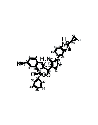 N#Cc1ccc2cc(C(=O)c3cnn(-c4ccc5[nH]c(C6CC6)nc5c4)c3N)n(S(=O)(=O)c3ccccc3)c2c1